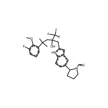 COc1c(F)cccc1C(C)(C)CC(O)(Cc1cc2cc(C3CCCN3C=O)ccc2[nH]1)C(F)(F)F